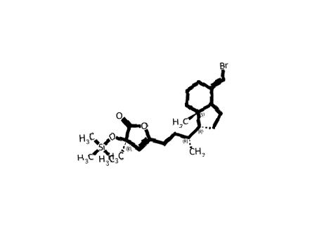 C[C@H](CCC1=C[C@@](C)(O[Si](C)(C)C)C(=O)O1)[C@H]1CCC2C(=CBr)CCC[C@]21C